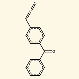 O=C=Nc1ccc(C(=O)c2ccccc2)cc1